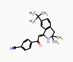 CC1(C)Cc2ccc(C(C)(C)C)cc2/C(=C/C(=O)c2ccc(C#N)cc2)N1